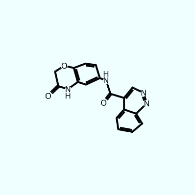 O=C1COc2ccc(NC(=O)c3cnnc4ccccc34)cc2N1